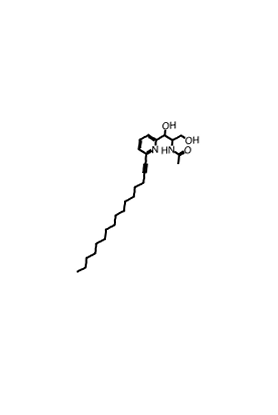 CCCCCCCCCCCCCCC#Cc1cccc(C(O)C(CO)NC(C)=O)n1